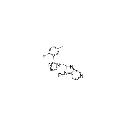 CCn1c(Cn2ccnc2-c2cc(C)ccc2F)nc2cnccc21